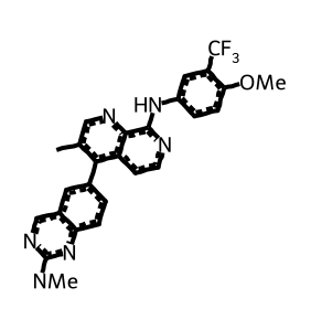 CNc1ncc2cc(-c3c(C)cnc4c(Nc5ccc(OC)c(C(F)(F)F)c5)nccc34)ccc2n1